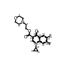 O=C(OCCN1CCOCC1)c1cn(C2CC2)c2cc(F)c(F)cc2c1=O